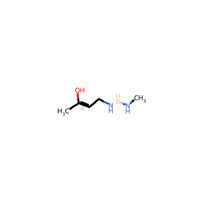 CNBNC/C=C(/C)O